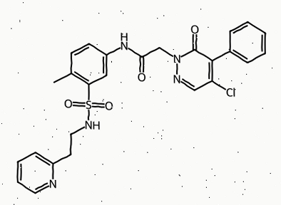 Cc1ccc(NC(=O)Cn2ncc(Cl)c(-c3ccccc3)c2=O)cc1S(=O)(=O)NCCc1ccccn1